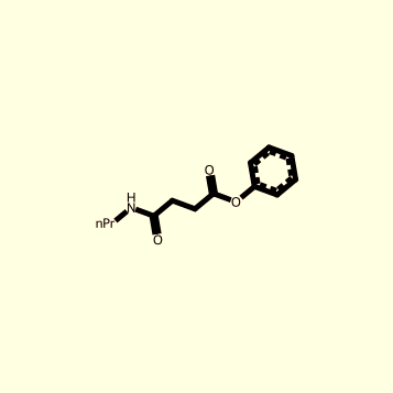 CCCNC(=O)CCC(=O)Oc1ccccc1